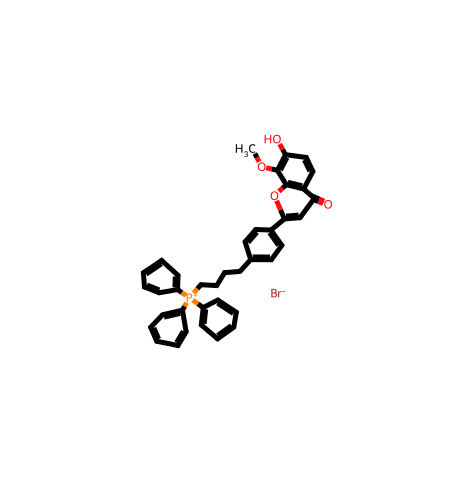 COc1c(O)ccc2c(=O)cc(-c3ccc(CCCC[P+](c4ccccc4)(c4ccccc4)c4ccccc4)cc3)oc12.[Br-]